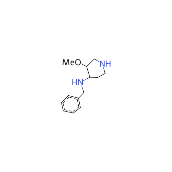 COC1CNCCC1NCc1ccccc1